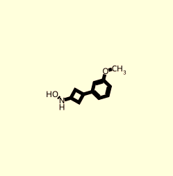 COc1cccc(C2CC(NO)C2)c1